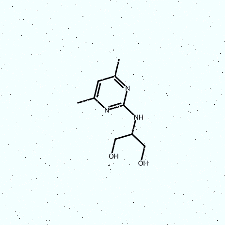 Cc1cc(C)nc(NC(CO)CO)n1